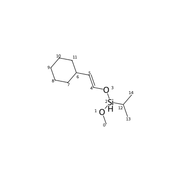 CO[SiH](OC=CC1CCCCC1)C(C)C